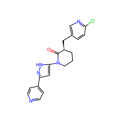 O=C1[C@@H](Cc2ccc(Cl)nc2)CCCN1c1cc(-c2ccncc2)n[nH]1